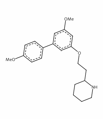 COc1ccc(-c2[c]c(OCCC3CCCCN3)cc(OC)c2)cc1